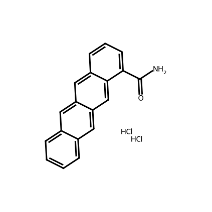 Cl.Cl.NC(=O)c1cccc2cc3cc4ccccc4cc3cc12